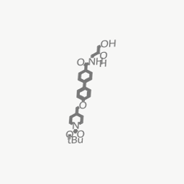 CC(C)(C)OC(=O)N1CCC(COc2ccc(C3=CCC(C(=O)NC[C@@H](O)CO)CC3)cc2)CC1